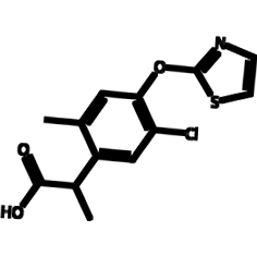 Cc1cc(Oc2nccs2)c(Cl)cc1C(C)C(=O)O